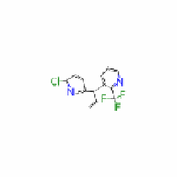 C=CC(c1ccc(Cl)nc1)c1c[c]cnc1C(F)(F)F